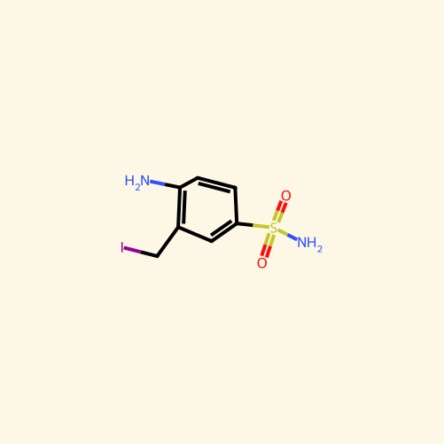 Nc1ccc(S(N)(=O)=O)cc1CI